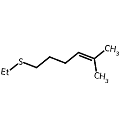 [CH2]CSCCCC=C(C)C